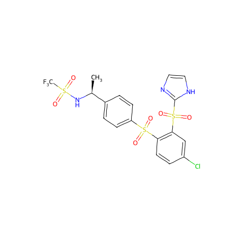 C[C@H](NS(=O)(=O)C(F)(F)F)c1ccc(S(=O)(=O)c2ccc(Cl)cc2S(=O)(=O)c2ncc[nH]2)cc1